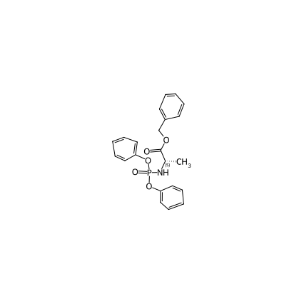 C[C@H](NP(=O)(Oc1ccccc1)Oc1ccccc1)C(=O)OCc1ccccc1